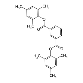 Cc1cc(C)c(OC(=O)c2cccc(C(=O)Oc3c(C)cc(C)cc3C)c2)c(C)c1